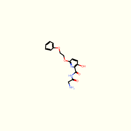 NCC(=O)NC(=O)c1nc(OCCOc2ccccc2)ccc1O